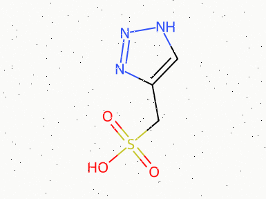 O=S(=O)(O)Cc1c[nH]nn1